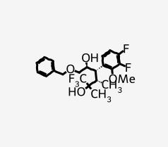 COc1c([C@@H]([C@H](O)COCc2ccccc2)[C@H](C)C(C)(O)C(F)(F)F)ccc(F)c1F